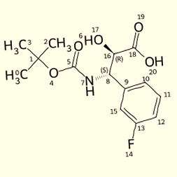 CC(C)(C)OC(=O)N[C@@H](c1cccc(F)c1)[C@@H](O)C(=O)O